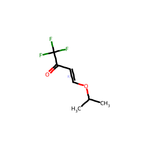 CC(C)O/C=C/C(=O)C(F)(F)F